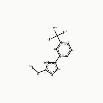 FC(F)(F)c1cccc(-c2csc(CI)n2)c1